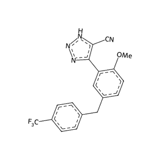 COc1ccc(Cc2ccc(C(F)(F)F)cc2)cc1-c1nn[nH]c1C#N